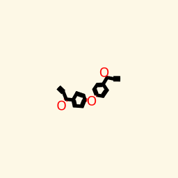 C#CC(=O)c1ccc(Oc2ccc(C(=O)C#C)cc2)cc1